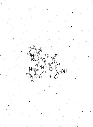 C[C@H](O)c1nc(C(F)F)c(C(=O)N2CCc3[nH]cnc3[C@@H]2c2cc3c(F)cccn3n2)o1